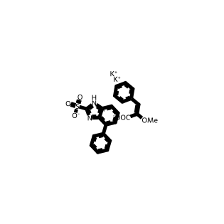 COC(=Cc1ccccc1)C(=O)[O-].O=S(=O)([O-])c1nc2c(-c3ccccc3)cccc2[nH]1.[K+].[K+]